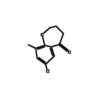 Cc1cc(Cl)cc2c1OCCCC2=O